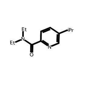 CCN(CC)C(=O)c1ccc(C(C)C)cn1